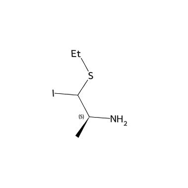 CCSC(I)[C@H](C)N